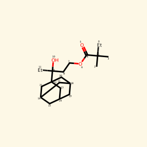 CCC(C)(C)C(=O)OCCC(O)(CC)C12CC3CC(CC(C3)C1)C2